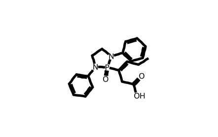 CCC=C(CC(=O)O)P1(=O)N(c2ccccc2)CCN1c1ccccc1